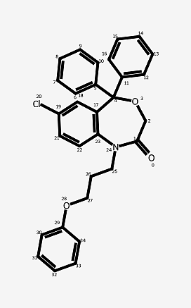 O=C1COC(c2ccccc2)(c2ccccc2)c2cc(Cl)ccc2N1CCCOc1ccccc1